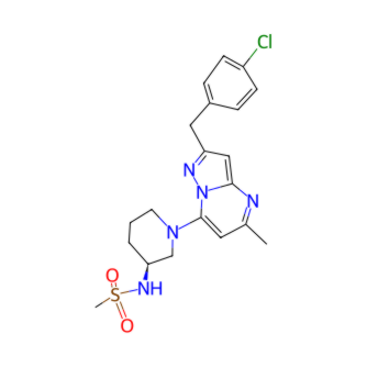 Cc1cc(N2CCC[C@H](NS(C)(=O)=O)C2)n2nc(Cc3ccc(Cl)cc3)cc2n1